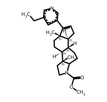 CCc1cncc(C2=CC[C@H]3[C@@H]4CCC5N(C(=O)OC)CC[C@]5(C)[C@H]4CC[C@]23C)c1